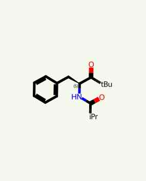 CC(C)C(=O)N[C@@H](Cc1ccccc1)C(=O)C(C)(C)C